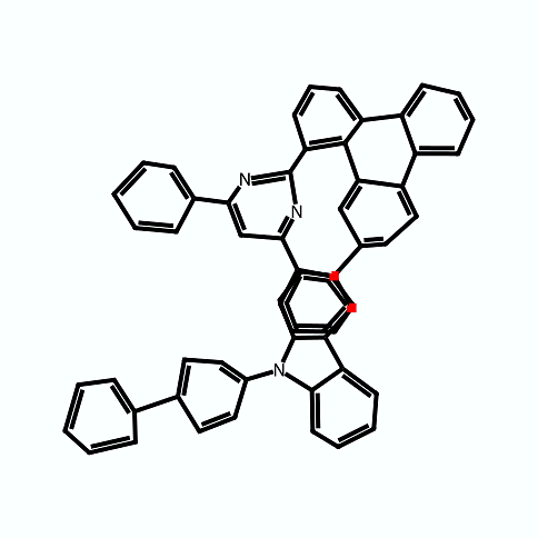 c1ccc(-c2ccc(-n3c4ccccc4c4cc(-c5ccc6c7ccccc7c7cccc(-c8nc(-c9ccccc9)cc(-c9ccccc9)n8)c7c6c5)ccc43)cc2)cc1